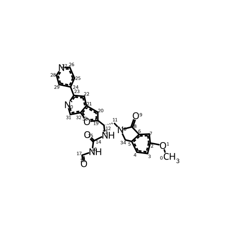 COc1ccc2c(c1)C(=O)N(C[C@H](NC(=O)NC=O)c1cc3cc(-c4ccncc4)ncc3o1)C2